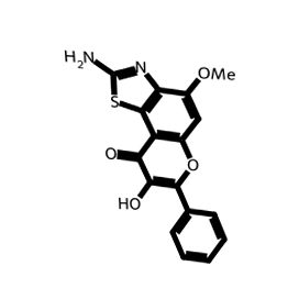 COc1cc2oc(-c3ccccc3)c(O)c(=O)c2c2sc(N)nc12